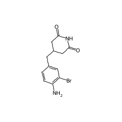 Nc1ccc(CC2CC(=O)NC(=O)C2)cc1Br